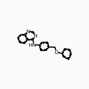 c1ccc(OCc2ccc(Nc3ncnc4ccccc34)cc2)cc1